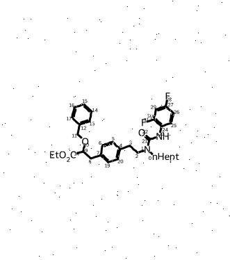 CCCCCCCN(CCc1ccc(CC(OCc2ccccc2)C(=O)OCC)cc1)C(=O)Nc1ccc(F)cc1F